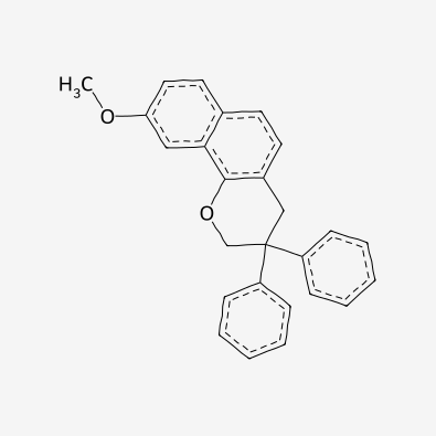 COc1ccc2ccc3c(c2c1)OCC(c1ccccc1)(c1ccccc1)C3